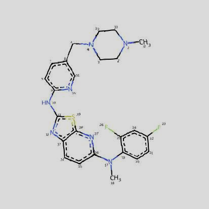 CN1CCN(Cc2ccc(Nc3nc4ccc(N(C)c5ccc(F)cc5F)nc4s3)nc2)CC1